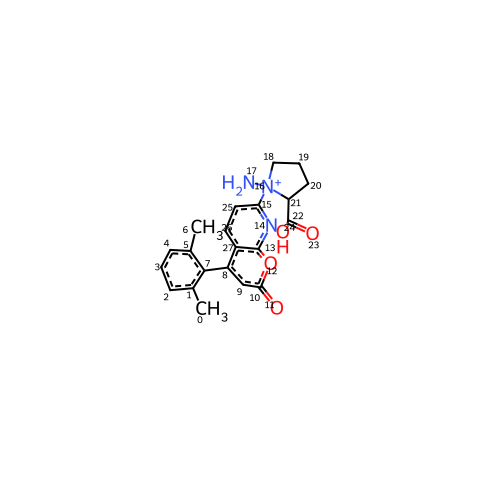 Cc1cccc(C)c1-c1cc(=O)oc2nc([N+]3(N)CCCC3C(=O)O)ccc12